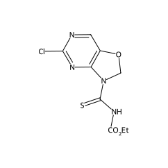 CCOC(=O)NC(=S)N1COc2cnc(Cl)nc21